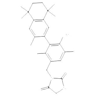 COc1c(F)cc(CN2C(=O)CNC2=O)c(F)c1-c1cc2c(cc1C)C(C)(C)CCC2(C)C